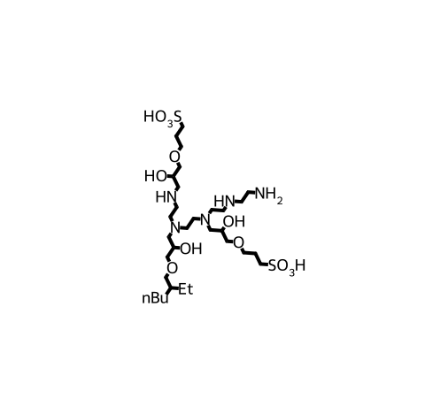 CCCCC(CC)COCC(O)CN(CCNCC(O)COCCCS(=O)(=O)O)CCN(CCNCCN)CC(O)COCCCS(=O)(=O)O